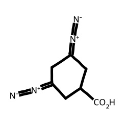 [N-]=[N+]=C1CC(=[N+]=[N-])CC(C(=O)O)C1